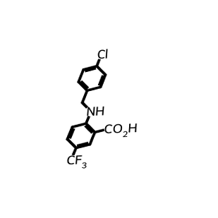 O=C(O)c1cc(C(F)(F)F)ccc1NCc1ccc(Cl)cc1